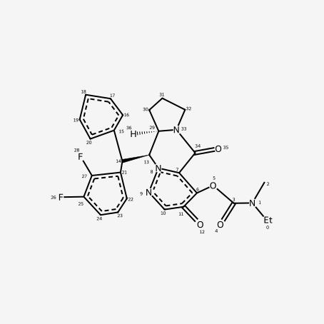 CCN(C)C(=O)Oc1c2n(ncc1=O)[C@@H](C(c1ccccc1)c1cccc(F)c1F)[C@H]1CCCN1C2=O